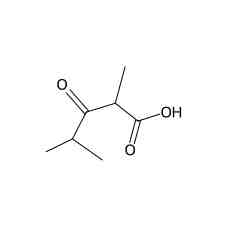 CC(C)C(=O)C(C)C(=O)O